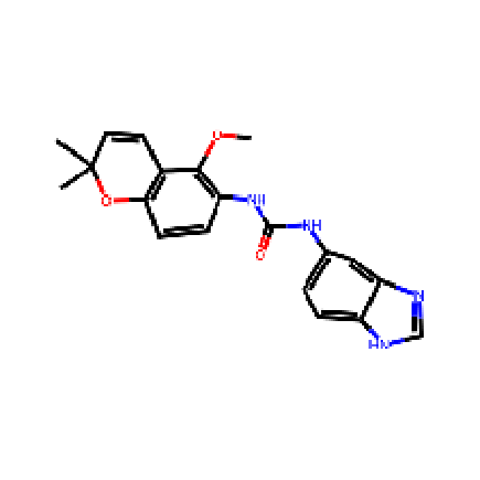 COc1c(NC(=O)Nc2ccc3[nH]cnc3c2)ccc2c1C=CC(C)(C)O2